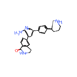 Nc1ncc(-c2ccc(C3CCCNC3)cc2)cc1-c1ccc2c(c1)CCNC2=O